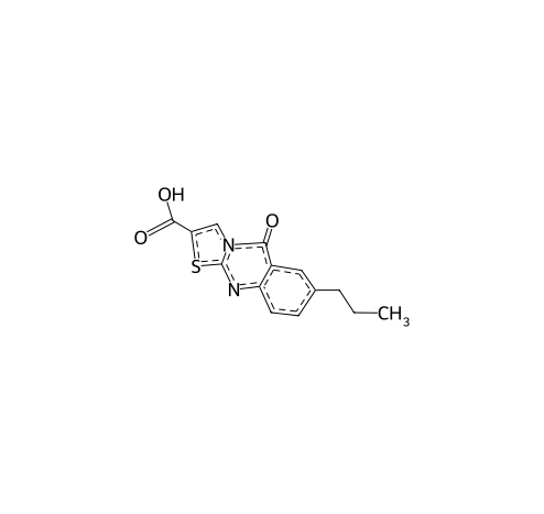 CCCc1ccc2nc3sc(C(=O)O)cn3c(=O)c2c1